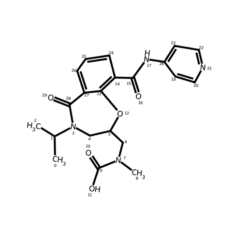 CC(C)N1CC(CN(C)C(=O)O)Oc2c(C(=O)Nc3ccncc3)cccc2C1=O